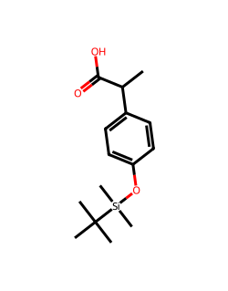 CC(C(=O)O)c1ccc(O[Si](C)(C)C(C)(C)C)cc1